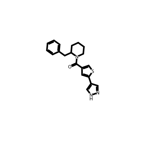 O=C(c1csc(-c2cn[nH]c2)c1)N1CCCCC1Cc1ccccc1